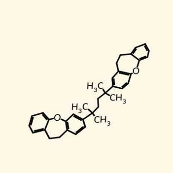 CC(C)(CCC(C)(C)c1ccc2c(c1)Oc1ccccc1CC2)c1ccc2c(c1)CCc1ccccc1O2